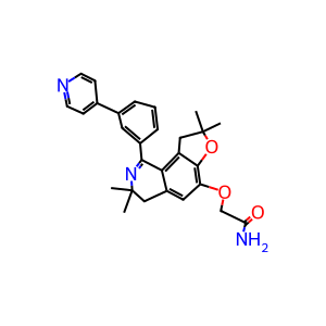 CC1(C)Cc2cc(OCC(N)=O)c3c(c2C(c2cccc(-c4ccncc4)c2)=N1)CC(C)(C)O3